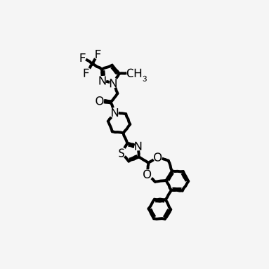 Cc1cc(C(F)(F)F)nn1CC(=O)N1CCC(c2nc(C3OCc4cccc(-c5ccccc5)c4CO3)cs2)CC1